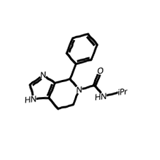 CC(C)NC(=O)N1CCc2[nH]cnc2C1c1ccccc1